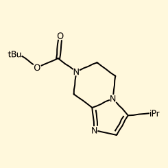 CC(C)c1cnc2n1CCN(C(=O)OC(C)(C)C)C2